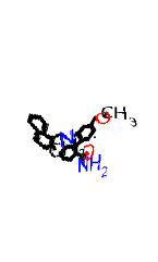 COCc1c[c]c2c3c(C(N)=O)cccc3n(Cc3c(C)ccc4ccccc34)c2c1